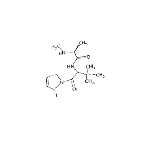 CN[C@@H](C)C(=O)NC(C(=O)N1CC=C[C@H]1I)C(C)(C)C